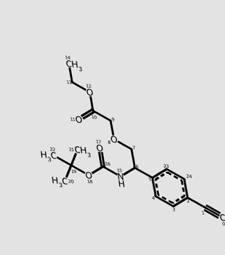 C#Cc1ccc(C(COCC(=O)OCC)NC(=O)OC(C)(C)C)cc1